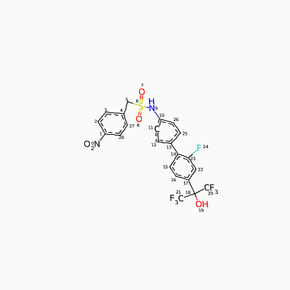 O=[N+]([O-])c1ccc(CS(=O)(=O)Nc2ccc(-c3ccc(C(O)(C(F)(F)F)C(F)(F)F)cc3F)cc2)cc1